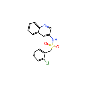 O=S(=O)(Cc1ccccc1Cl)Nc1cnc2ccccc2c1